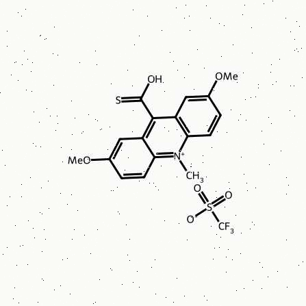 COc1ccc2c(c1)c(C(O)=S)c1cc(OC)ccc1[n+]2C.O=S(=O)([O-])C(F)(F)F